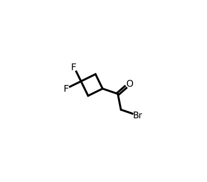 O=C(CBr)C1CC(F)(F)C1